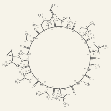 C/C=C/C[C@@H](C)[C@@H](O)C1C(=O)N[C@@H](CC)C(=O)N(C)[C@H](OCC2(N(C)C)CC2)C(=O)N(C)[C@@H](CC(C)C)C(=O)N[C@@H](C(C)C)C(=O)N(C)[C@@H](CC(C)C)C(=O)N[C@@H](C)C(=O)N[C@H](C)C(=O)N(C)[C@@H](CC(C)C)C(=O)N(C)[C@@H](CC(C)C)C(=O)N(C)[C@@H](C(C)C)C(=O)N1C